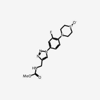 COC(=O)NCc1cn(-c2ccc(N3CC[S+]([O-])CC3)c(F)c2)nn1